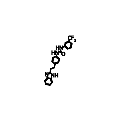 O=C(Nc1ccc(CCc2nc3ccccc3[nH]2)cc1)Nc1cccc(C(F)(F)F)c1